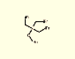 CCC(C)O[Si](CC(C)C)(CC(C)C)CC(C)C